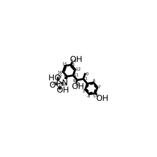 CC(c1ccc(O)cc1)C(O)C1C=C(O)C=C/C1=N\P(=O)(O)O